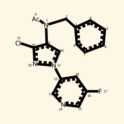 CC(=O)N(Cc1ccccc1)c1cn(-c2cncc(F)c2)nc1Cl